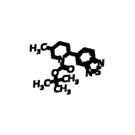 CC1CCC(c2ccc3nsnc3c2)N(C(=O)OC(C)(C)C)C1